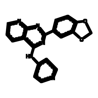 c1cnc2nc(-c3ccc4c(c3)OCO4)nc(Nc3ccncc3)c2c1